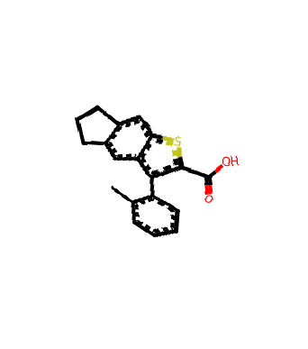 Cc1ccccc1-c1c(C(=O)O)sc2cc3c(cc12)CCC3